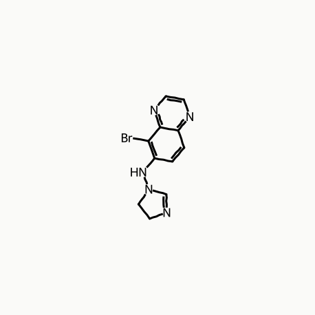 Brc1c(NN2C=NCC2)ccc2nccnc12